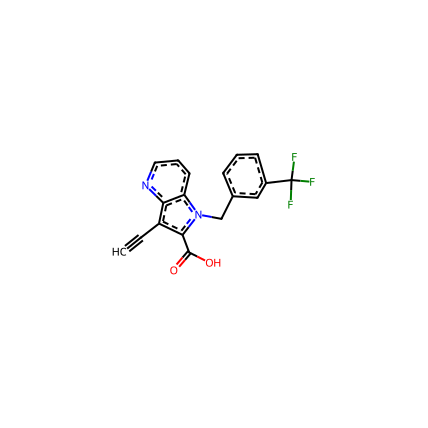 C#Cc1c(C(=O)O)n(Cc2cccc(C(F)(F)F)c2)c2cccnc12